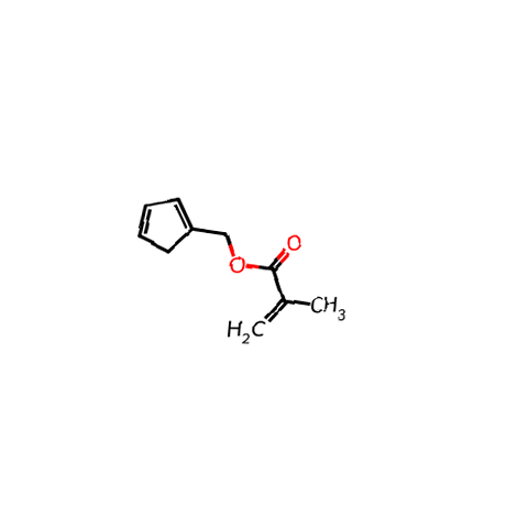 C=C(C)C(=O)OCC1=CC=CC1